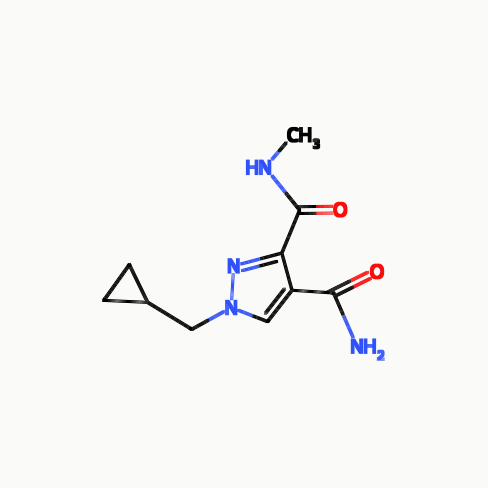 CNC(=O)c1nn(CC2CC2)cc1C(N)=O